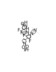 CC(C)OC(=O)N1CCC=C(c2c(F)cc(N3C[C@@H](C)N(C)[C@@H](C)C3)c(NC(=O)c3c[nH]c(=O)cc3C(F)F)c2F)C1